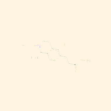 CC(C)(C)OC(=O)CCc1ccc2c(c1Cl)CCN(C(=O)O)C2C(C)(C)C